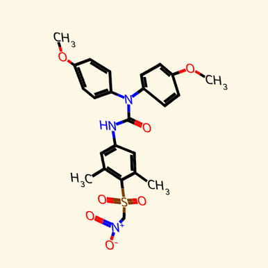 COc1ccc(N(C(=O)Nc2cc(C)c(S(=O)(=O)C[N+](=O)[O-])c(C)c2)c2ccc(OC)cc2)cc1